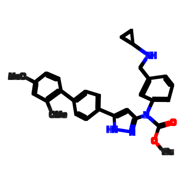 COc1ccc(-c2ccc(-c3cc(N(C(=O)OC(C)(C)C)c4cccc(CNC5CC5)c4)n[nH]3)cc2)c(OC)c1